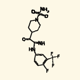 N=C(Nc1ccc(F)c(C(F)(F)F)c1)C(=O)C1CCN(S(N)(=O)=O)CC1